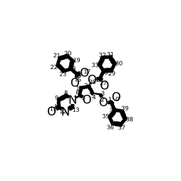 O=C(OC[C@H]1O[C@@H](n2ccc(=O)nc2)[C@H](OC(=O)c2ccccc2)[C@@H]1OC(=O)c1ccccc1)c1ccccc1